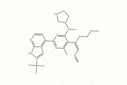 C=N/C=C(/CCCC)c1c(C)nc(-c2ccnc3[nH]c(C(F)(F)F)cc23)nc1N(C)C1CCNC1